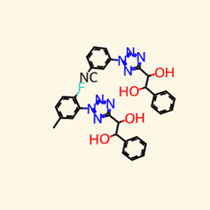 Cc1ccc(F)c(-n2nnc(C(O)C(O)c3ccccc3)n2)c1.N#Cc1cccc(-n2nnc(C(O)C(O)c3ccccc3)n2)c1